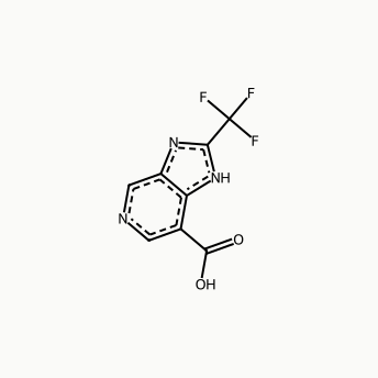 O=C(O)c1cncc2nc(C(F)(F)F)[nH]c12